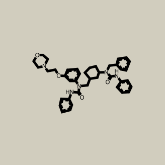 O=C(Nc1ccccc1)N(CC1CCCC(N(Cc2ccccc2)C(=O)Nc2ccccc2)C1)c1cccc(OCCN2CCOCC2)c1